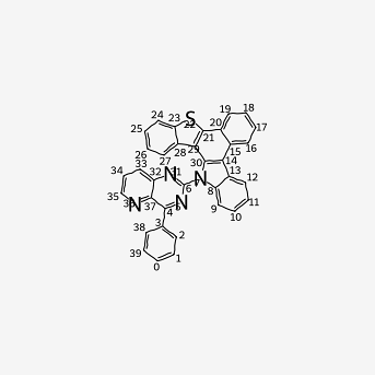 c1ccc(-c2nc(-n3c4ccccc4c4c5ccccc5c5sc6ccccc6c5c43)nc3cccnc23)cc1